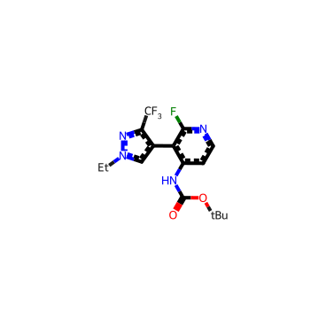 CCn1cc(-c2c(NC(=O)OC(C)(C)C)ccnc2F)c(C(F)(F)F)n1